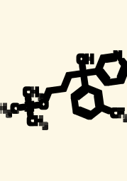 C[Si](C)(C)OCCCC(O)(c1cccnc1)c1cccc(C(F)(F)F)c1